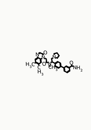 Cc1cc2ncc(=O)n(CC(=O)N(C)C(CN3CCCC3)c3ccc(-c4cccc(C(N)=O)c4)cc3)c2cc1C